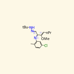 CCC/C=C(OC)/C(/C=N/NC(C)(C)C)=N\c1cc(Cl)ccc1C